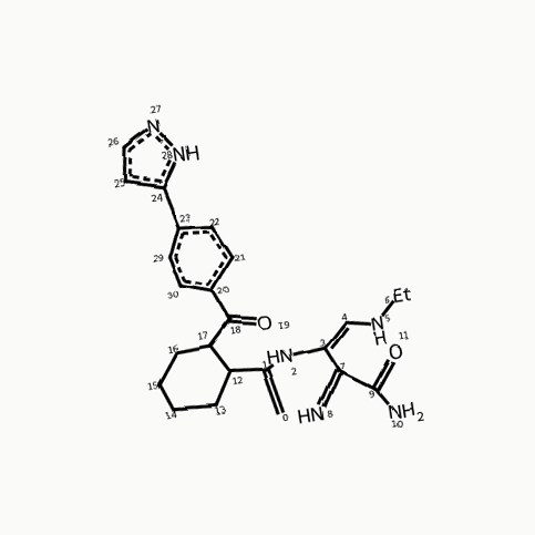 C=C(N/C(=C/NCC)C(=N)C(N)=O)C1CCCCC1C(=O)c1ccc(-c2ccn[nH]2)cc1